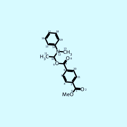 COC(=O)c1ccc(C(=O)OC(C)N(C)c2ccccc2)cc1